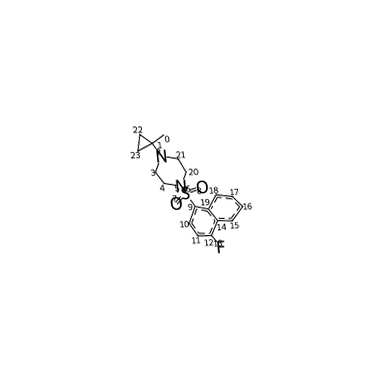 CC1(N2CCN(S(=O)(=O)c3ccc(F)c4ccccc34)CC2)CC1